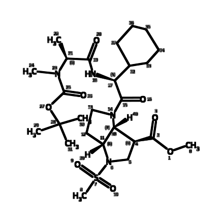 COC(=O)[C@H]1CN(S(C)(=O)=O)[C@@H]2CCN(C(=O)[C@@H](NC(=O)[C@H](C)N(C)C(=O)OC(C)(C)C)C3CCCCC3)[C@H]12